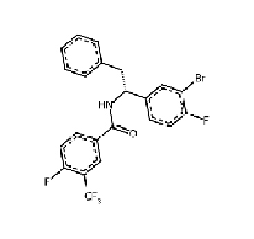 O=C(N[C@H](Cc1ccccc1)c1ccc(F)c(Br)c1)c1ccc(F)c(C(F)(F)F)c1